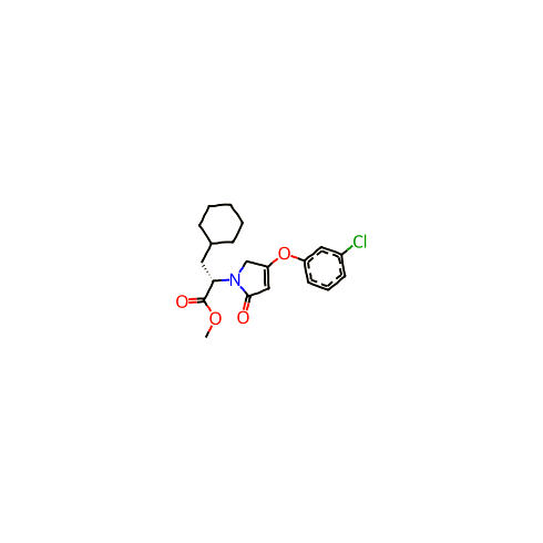 COC(=O)[C@H](CC1CCCCC1)N1CC(Oc2cccc(Cl)c2)=CC1=O